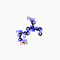 CCNCc1cncc(-c2cc3c(-c4cc5c(N6CCCCC6)nccc5[nH]4)n[nH]c3c(C3CCCN(c4nccc5[nH]c(-c6n[nH]c7cnc(-c8cncc(NC(=O)C(C)C)c8)cc67)cc45)C3)n2)c1